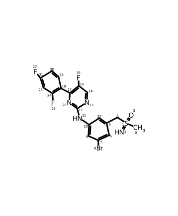 CS(=N)(=O)Cc1cc(Br)cc(Nc2ncc(F)c(-c3ccc(F)cc3F)n2)c1